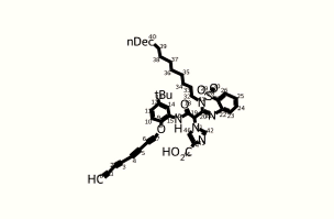 C#CC#CC#CC#COc1ccc(C(C)(C)C)cc1NC(=O)C(C1=Nc2ccccc2S(=O)(=O)N1CCCCCCCCCCCCCCCCCC)n1cnc(C(=O)O)c1